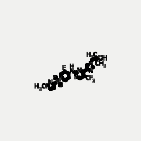 Cn1ccc(S(=O)(=O)N2CC[C@@H](Nc3ncc(C(F)(F)F)c(-c4cn(CC(C)(C)O)cn4)n3)[C@H](F)C2)n1